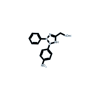 CCCCCCCCCCCC1=NN(c2ccccc2)N(c2ccc([N+](=O)[O-])cc2)N1